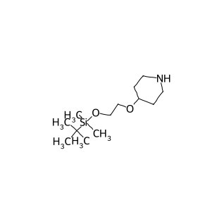 CC(C)(C)[Si](C)(C)OCCOC1CCNCC1